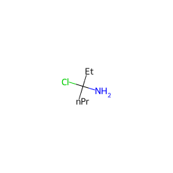 CCCC(N)(Cl)CC